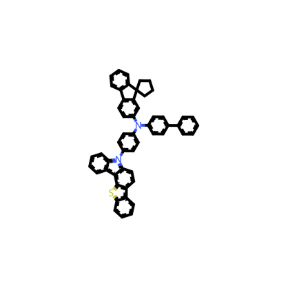 c1ccc(-c2ccc(N(c3ccc(-n4c5ccccc5c5c6sc7ccccc7c6ccc54)cc3)c3ccc4c(c3)C3(CCCC3)c3ccccc3-4)cc2)cc1